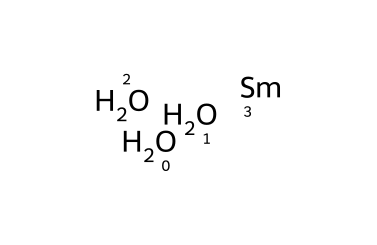 O.O.O.[Sm]